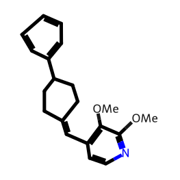 COc1nccc(C=C2CCC(c3ccccc3)CC2)c1OC